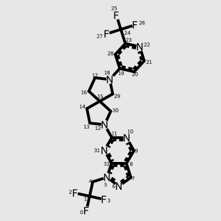 FC(F)(F)Cn1ncc2cnc(N3CCC4(CCN(c5ccnc(C(F)(F)F)c5)C4)C3)nc21